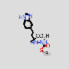 CC(C)(C)OC(=O)NNC(C)(CCc1ccc2[nH]cnc2c1)C(=O)O